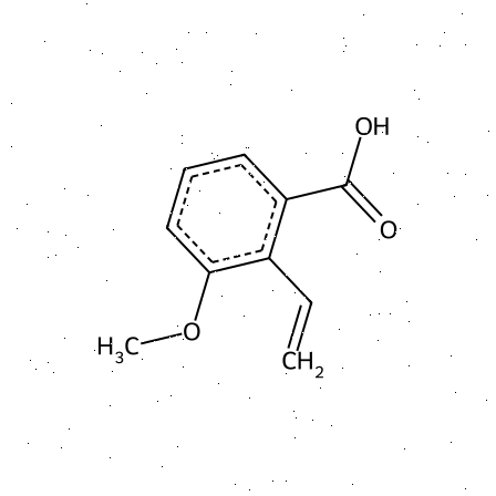 C=Cc1c(OC)cccc1C(=O)O